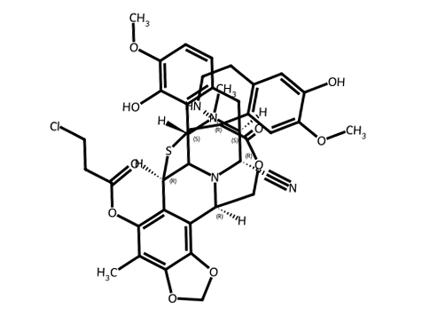 COc1cc2c(cc1O)CCN[C@]21CS[C@@H]2c3c(OC(=O)CCCl)c(C)c4c(c3[C@H](COC1=O)N1C2[C@@H]2c3c(ccc(OC)c3O)C[C@@H]([C@@H]1C#N)N2C)OCO4